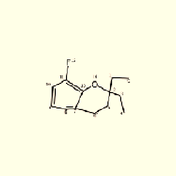 CCC1(CC)C[CH]c2cccc(F)c2O1